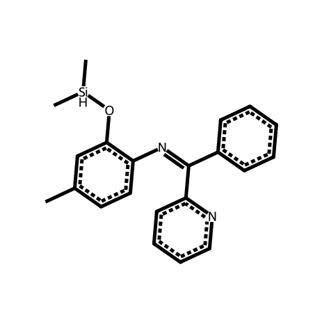 Cc1ccc(N=C(c2ccccc2)c2ccccn2)c(O[SiH](C)C)c1